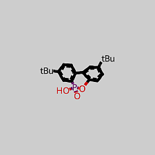 CC(C)(C)c1ccc2c(c1)-c1ccc(C(C)(C)C)cc1P(=O)(O)O2